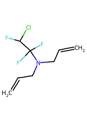 C=CCN(CC=C)C(F)(F)C(F)Cl